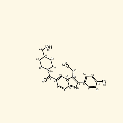 O=C(c1ccc2nc(-c3ccc(Cl)cc3)c(CO)n2c1)N1CCC(CO)CC1